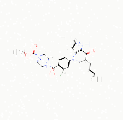 CC=CCC1CN(c2ccc(C(=O)N3CCN(C(=O)OC(C)(C)C)CC3)c(Cl)c2)c2cc(C)[nH]c2C1=O